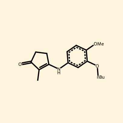 CCCCOc1cc(NC2=C(C)C(=O)CC2)ccc1OC